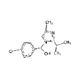 Cc1cn(C(O)c2ccc(Cl)cc2)c(C(C)C)n1